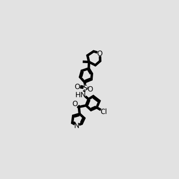 CC1(c2ccc(S(=O)(=O)Nc3ccc(Cl)cc3C(=O)c3ccncc3)cc2)CCOCC1